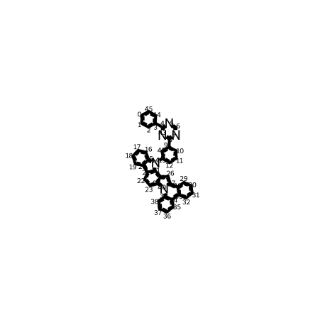 c1ccc(-c2ncnc(-c3cccc(-n4c5ccccc5c5ccc6c(cc7c8ccccc8c8ccccc8n76)c54)c3)n2)cc1